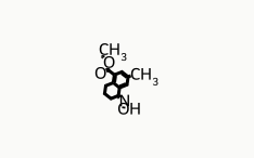 CCOC(=O)c1cc(C)cc2c1CCCC2=NO